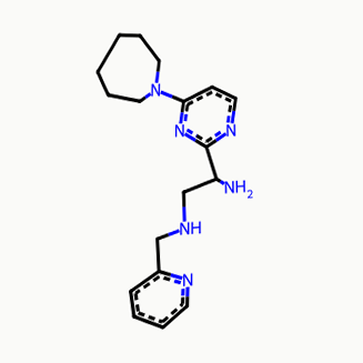 NC(CNCc1ccccn1)c1nccc(N2CCCCCC2)n1